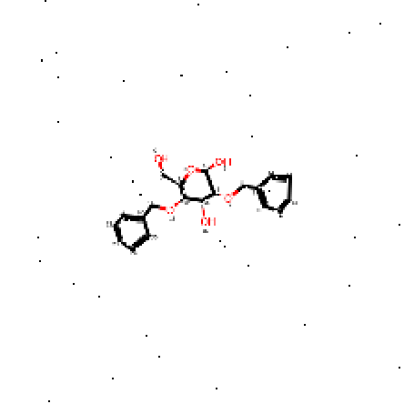 OC[C@H]1O[C@@H](O)[C@H](OCc2ccccc2)[C@@H](O)[C@H]1OCc1ccccc1